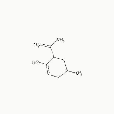 C=C(C)C1CC(C)CC=C1O